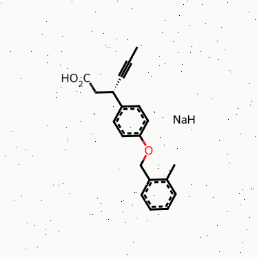 CC#C[C@@H](CC(=O)O)c1ccc(OCc2ccccc2C)cc1.[NaH]